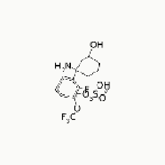 C=O.NC1(c2cccc(OC(F)(F)F)c2F)CCCC(O)C1.O=S(=O)(O)O